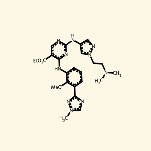 CCOC(=O)c1cnc(Nc2cnn(CCN(C)C)c2)nc1Nc1cccc(-c2ncn(C)n2)c1OC